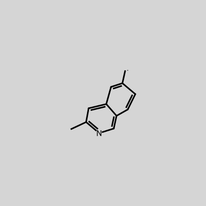 [CH2]c1ccc2cnc(C)cc2c1